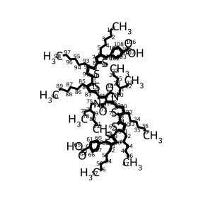 CCCCCCc1cc(-c2sc(-c3sc(C4=C5C(=O)N(CC(CC)CCCC)C(c6cc(CCCCCC)c(-c7cc(CCCCCC)c(-c8cc(CCCCCC)c(-c9ccc(C(=O)O)cc9)s8)s7)s6)=C5C(=O)N4CC(CC)CCCC)cc3CCCCCC)cc2CCCCCC)sc1-c1ccc(C(=O)O)cc1